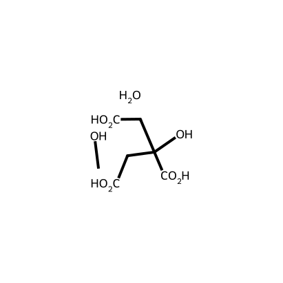 CO.O.O=C(O)CC(O)(CC(=O)O)C(=O)O